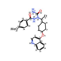 CCC(C1CCC(Oc2ccnc3ccccc23)CC1)N(NC(=O)c1ccc(OC)cc1)C(N)=O